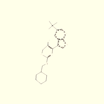 CC(F)(F)c1cnc2[nH]cc(C3=C(C#N)CNC(NCC4CCCCC4)=N3)c2c1